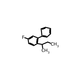 CCC(C)c1ccc(F)cc1-c1ccccc1